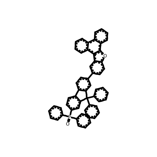 O=P(c1ccccc1)(c1ccccc1)c1ccc2c(c1)C(c1ccccc1)(c1ccccc1)c1cc(-c3ccc4oc5c6ccccc6c6ccccc6c5c4c3)ccc1-2